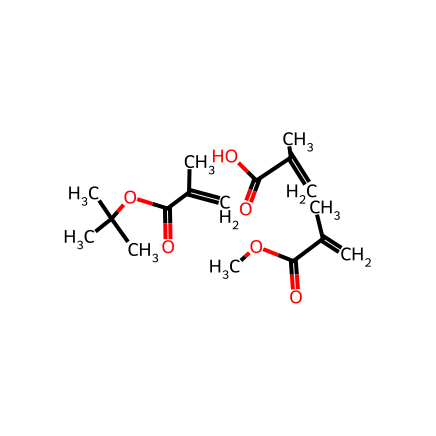 C=C(C)C(=O)O.C=C(C)C(=O)OC.C=C(C)C(=O)OC(C)(C)C